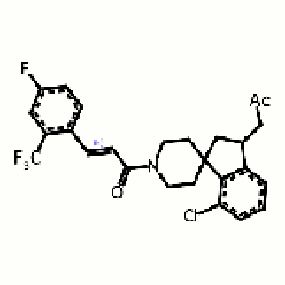 CC(=O)CC1CC2(CCN(C(=O)/C=C/c3ccc(F)cc3C(F)(F)F)CC2)c2c(Cl)cccc21